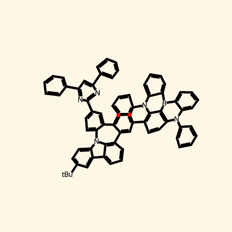 CC(C)(C)c1ccc2c(c1)c1cccc3c1n2-c1ccc(-c2nc(-c4ccccc4)cc(-c4ccccc4)n2)cc1-c1ccc(-c2ccc4c5c2N(c2ccccc2)c2ccccc2B5c2ccccc2N4c2ccccc2)cc1-3